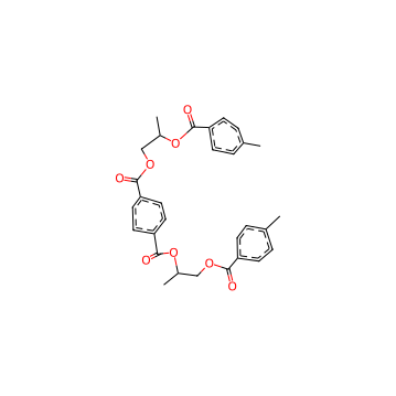 Cc1ccc(C(=O)OCC(C)OC(=O)c2ccc(C(=O)OCC(C)OC(=O)c3ccc(C)cc3)cc2)cc1